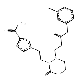 COC(=O)c1ccc(CCN2C(=O)OCCN2CCC(=O)Cc2cccc(I)c2)s1